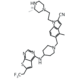 Cc1c(CN2CCC(Nc3ncnc4sc(CC(F)(F)F)cc34)CC2)ccc2c1cc(C#N)n2CCN1CCN[C@@H](C)C1